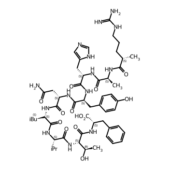 CC[C@H](C)[C@H](NC(=O)[C@H](CC(N)=O)NC(=O)[C@H](Cc1ccc(O)cc1)NC(=O)[C@H](Cc1cnc[nH]1)NC(=O)[C@H](C)NC(=O)[C@@H](C)CCCNC(=N)N)C(=O)N[C@H](C(=O)N[C@H](C(=O)N[C@@H](Cc1ccccc1)C(=O)O)[C@@H](C)O)C(C)C